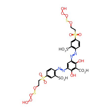 O=C(O)c1c(O)c(/N=N/c2ccc(S(=O)(=O)CCOSOOO)cc2S(=O)(=O)O)cc(/N=N/c2ccc(S(=O)(=O)CCOSOOO)cc2S(=O)(=O)O)c1O